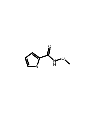 CONC(=O)c1cccs1